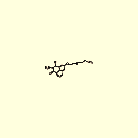 CCCCOCCOc1cc2c3c(cccc3c1)C(=O)N(N)C2=O